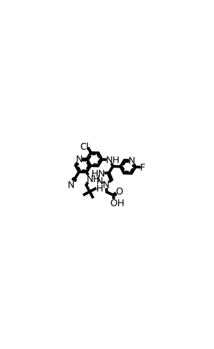 CC(C)(C)CNc1c(C#N)cnc2c(Cl)cc(NC(C3=CN(CC(=O)O)NN3)c3ccc(F)nc3)cc12